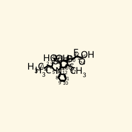 CCCC1(C)CN(c2ccccc2)c2cc(SC)c(O/C=C(\F)C(=O)O)cc2S(O)(O)C1